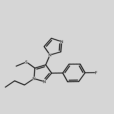 CCCn1nc(-c2ccc(F)cc2)c(-n2ccnc2)c1SC